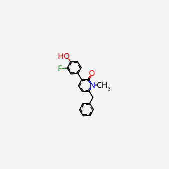 Cn1c(Cc2ccccc2)ccc(-c2ccc(O)c(F)c2)c1=O